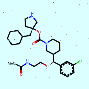 COC(=O)NCCO[C@@H](c1cccc(Cl)c1)C1CCCN(C(=O)O[C@]2(CC3CCCCC3)CCNC2)C1